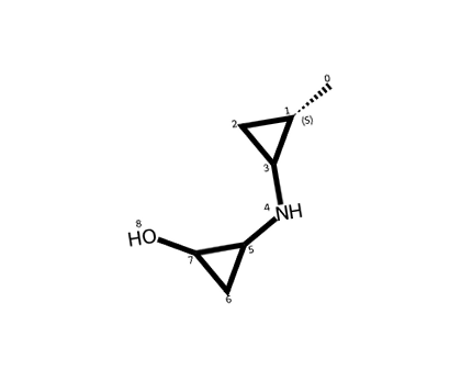 C[C@H]1CC1NC1CC1O